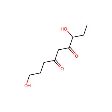 CCC(O)C(=O)CC(=O)CCCO